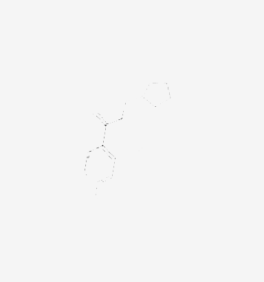 Cl.O=C(CCN1CCCC1)c1ccc(Cl)cc1